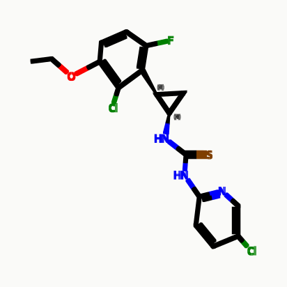 CCOc1ccc(F)c([C@H]2C[C@H]2NC(=S)Nc2ccc(Cl)cn2)c1Cl